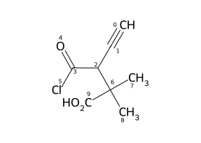 C#CC(C(=O)Cl)C(C)(C)C(=O)O